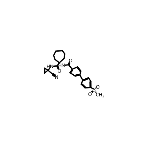 CS(=O)(=O)c1ccc(-c2ccc(C(=O)NC3(C(=O)NC4(C#N)CC4)CCCCCC3)cc2)cc1